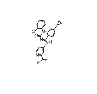 O=c1nc(Nc2ccnc(C(F)F)c2)c2ccc(C3CC3)cc2n1-c1ccccc1Cl